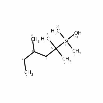 CCC(C)CC(C)(C)[Si](C)(C)O